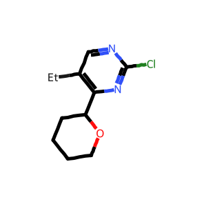 CCc1cnc(Cl)nc1C1CCCCO1